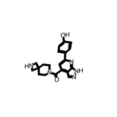 O=C(c1cc(-c2ccc(O)cc2)nc2[nH]ncc12)N1CCC2(CC1)CNC2